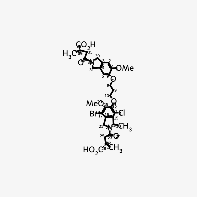 COc1cc2c(cc1OCCCOc1c(Cl)c3c(c(Br)c1OC)CN(C(=O)C[C@H](C)C(=O)O)C3C)CN(C(=O)C[C@H](C)C(=O)O)C2